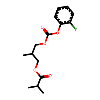 CC(COC(=O)Oc1ccccc1F)COC(=O)C(C)C